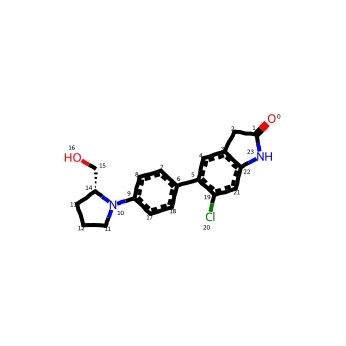 O=C1Cc2cc(-c3ccc(N4CCC[C@@H]4CO)cc3)c(Cl)cc2N1